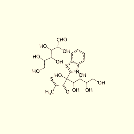 CC(=S)C(=O)C(O)(c1nc2ccccc2s1)C(O)C(O)C(O)CO.O=CC(O)C(O)C(O)C(O)CO